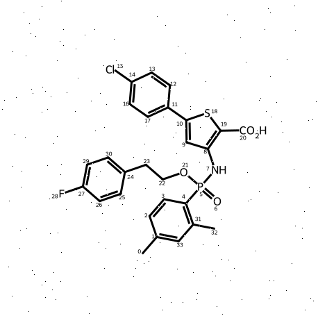 Cc1ccc(P(=O)(Nc2cc(-c3ccc(Cl)cc3)sc2C(=O)O)OCCc2ccc(F)cc2)c(C)c1